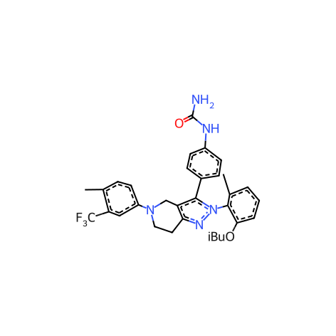 Cc1ccc(N2CCc3nn(-c4c(C)cccc4OCC(C)C)c(-c4ccc(NC(N)=O)cc4)c3C2)cc1C(F)(F)F